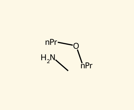 CCCOCCC.CN